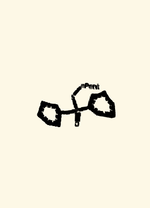 CCCCCSP(=O)(c1ccccc1)c1ccccc1